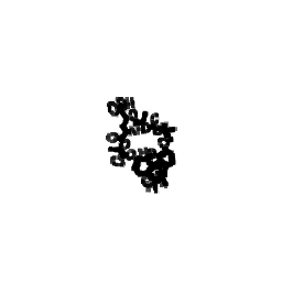 COc1ccc2c3c1O[C@H]1C(OC(=O)C(C)OC(=O)C(CCC(=O)O)NC(=O)C(C)OC(=O)OC(C)(C)C)=CC[C@@]4(O)[C@@H](C2)N(C)CC[C@]314